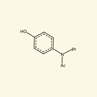 CC(=O)N(c1ccc(O)cc1)C(C)C